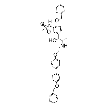 C[C@H](NCCOc1ccc(-c2ccc(OCc3ccccc3)cc2)cc1)[C@H](O)c1ccc(OCc2ccccc2)c(NS(C)(=O)=O)c1